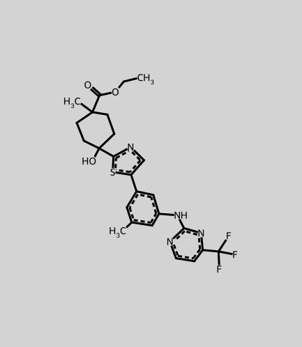 CCOC(=O)C1(C)CCC(O)(c2ncc(-c3cc(C)cc(Nc4nccc(C(F)(F)F)n4)c3)s2)CC1